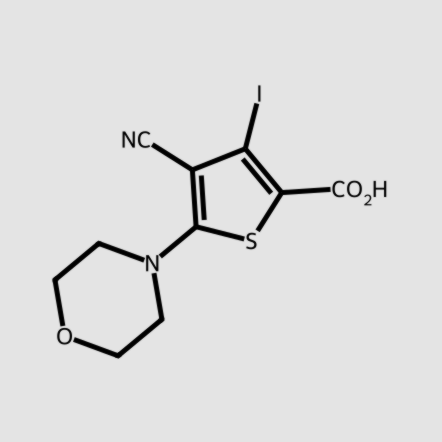 N#Cc1c(N2CCOCC2)sc(C(=O)O)c1I